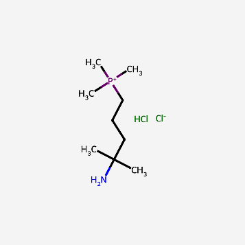 CC(C)(N)CCC[P+](C)(C)C.Cl.[Cl-]